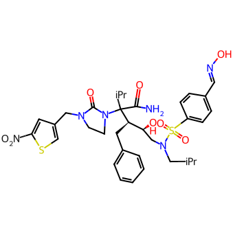 CC(C)CN(C[C@H](O)[C@@H](Cc1ccccc1)C(C(N)=O)(C(C)C)N1CCN(Cc2csc([N+](=O)[O-])c2)C1=O)S(=O)(=O)c1ccc(C=NO)cc1